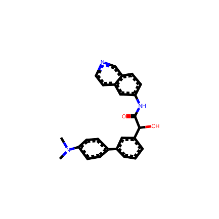 CN(C)c1ccc(-c2cccc(C(O)C(=O)Nc3ccc4cnccc4c3)c2)cc1